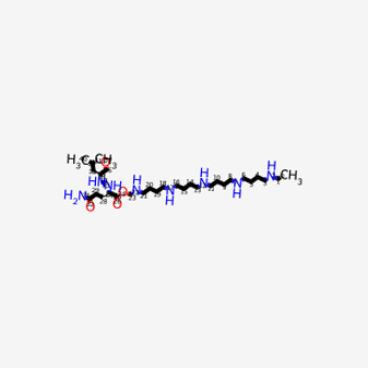 CCNCCCCNCCCCNCCCCNCCCCNCOC(=O)[C@H](CCC(N)=O)NN[C@H](C=O)CC(C)C